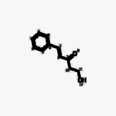 O=C(/C=C/c1ccccc1)CCO